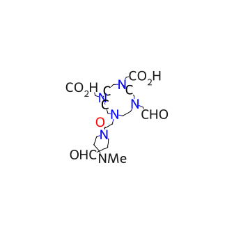 CNC1(C=O)CCN(C(=O)CN2CCN(CC=O)CCN(CC(=O)O)CCN(CC(=O)O)CC2)CC1